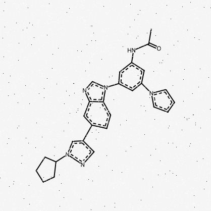 CC(=O)Nc1cc(-n2cccc2)cc(-n2cnc3cc(-c4cnn(C5CCCC5)c4)ccc32)c1